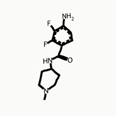 CN1CCC(NC(=O)c2ccc(N)c(F)c2F)CC1